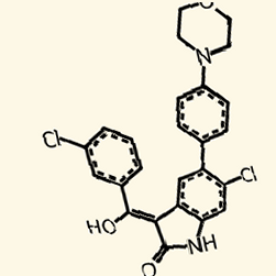 O=C1Nc2cc(Cl)c(-c3ccc(N4CCOCC4)cc3)cc2/C1=C(/O)c1cccc(Cl)c1